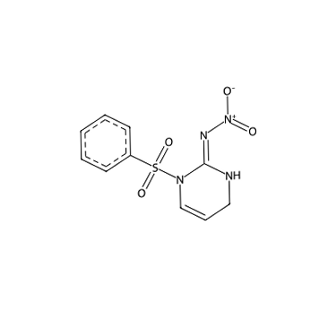 O=[N+]([O-])N=C1NCC=CN1S(=O)(=O)c1ccccc1